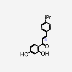 CC(C)c1ccc(/C=C/C(=O)c2ccc(O)cc2O)cc1